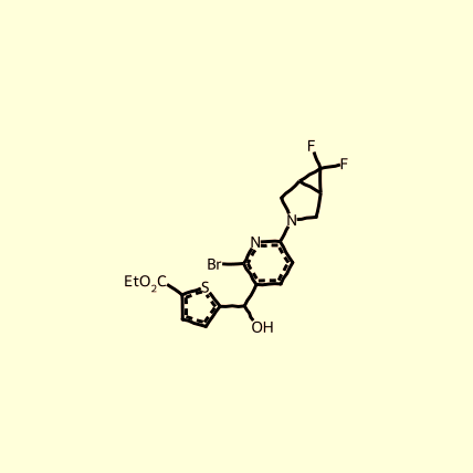 CCOC(=O)c1ccc(C(O)c2ccc(N3CC4C(C3)C4(F)F)nc2Br)s1